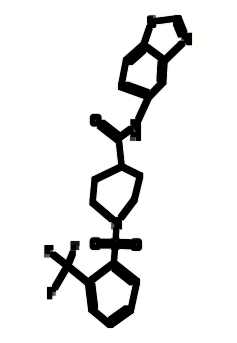 O=C(Nc1ccc2scnc2c1)C1CCN(S(=O)(=O)c2ccccc2C(F)(F)F)CC1